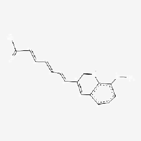 COc1cccc2c1OCC(C=CC=CC=CC(=O)O)=C2